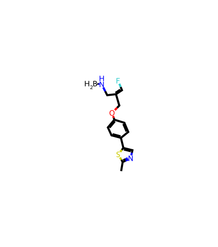 BNC/C(=C\F)COc1ccc(-c2cnc(C)s2)cc1